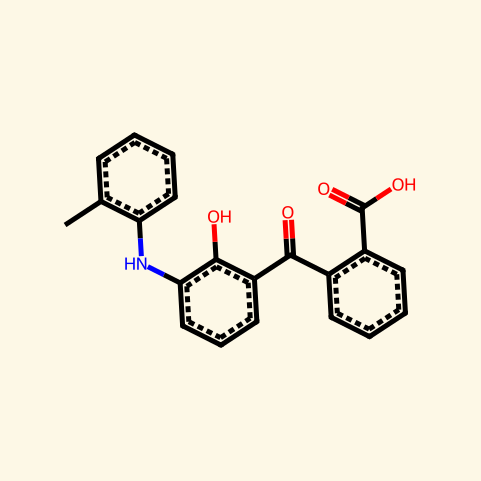 Cc1ccccc1Nc1cccc(C(=O)c2ccccc2C(=O)O)c1O